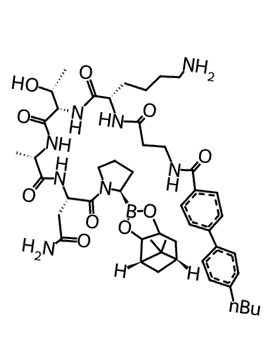 CCCCc1ccc(-c2ccc(C(=O)NCCC(=O)N[C@@H](CCCCN)C(=O)N[C@H](C(=O)N[C@@H](C)C(=O)N[C@@H](CC(N)=O)C(=O)N3CCC[C@H]3B3OC4C[C@@H]5C[C@H](C4O3)C5(C)C)[C@@H](C)O)cc2)cc1